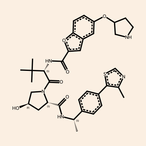 Cc1ncsc1-c1ccc([C@H](C)NC(=O)[C@@H]2C[C@@H](O)CN2C(=O)[C@@H](NC(=O)c2cc3cc(OC4CCNC4)ccc3o2)C(C)(C)C)cc1